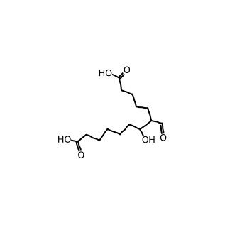 O=CC(CCCCC(=O)O)C(O)CCCCCC(=O)O